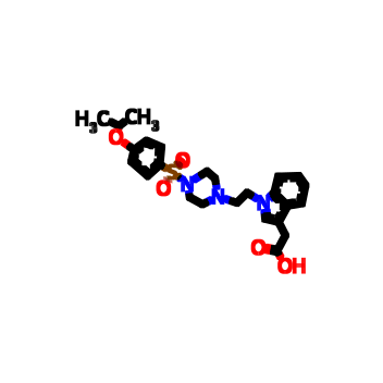 CC(C)Oc1ccc(S(=O)(=O)N2CCN(CCn3cc(CC(=O)O)c4ccccc43)CC2)cc1